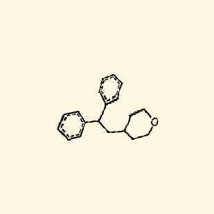 c1ccc(C(CC2CCOCC2)c2ccccc2)cc1